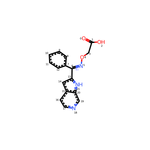 O=C(O)CO/N=C(\c1ccccc1)c1cc2ccncc2[nH]1